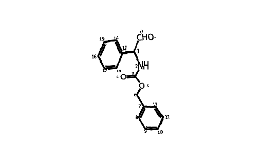 O=[C]C(NC(=O)OCc1ccccc1)c1ccccc1